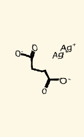 O=C([O-])CCC(=O)[O-].[Ag+].[Ag+]